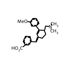 COc1cccc(C2=C/C(=C\c3cccc(C(=O)O)c3)CCC2CN(C)C)c1